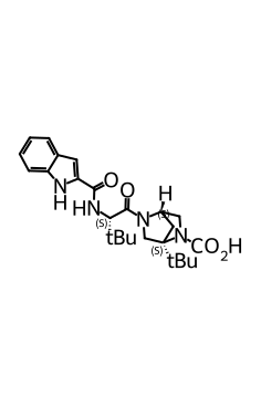 CC(C)(C)[C@H](NC(=O)c1cc2ccccc2[nH]1)C(=O)N1C[C@@]2(C(C)(C)C)C[C@H]1CN2C(=O)O